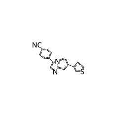 N#Cc1ccc(-c2cnc3cc(-c4ccsc4)ccn23)cc1